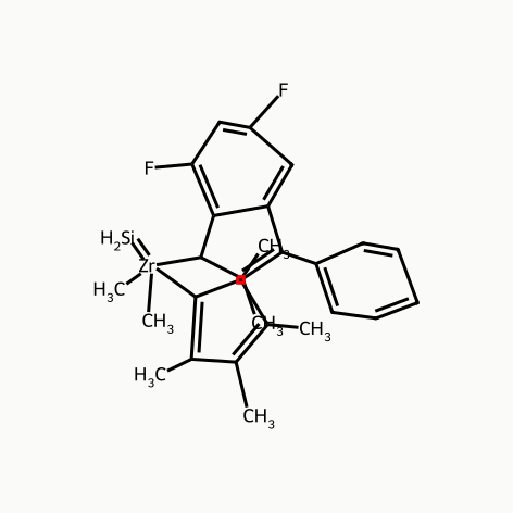 CC1=C(C)C(C)[C]([Zr]([CH3])([CH3])(=[SiH2])[CH]2C(C)=C(c3ccccc3)c3cc(F)cc(F)c32)=C1C